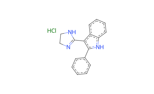 Cl.c1ccc(-c2[nH]c3ccccc3c2C2=NCCN2)cc1